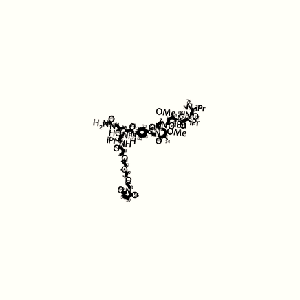 CC[C@H](C)[C@@H]([C@@H](CC(=O)N1CCC[C@H]1[C@H](OC)[C@@H](C)C(=O)NC[S+]([O-])c1ccc(NC(=O)[C@H](CCCNC(N)=O)NC(=O)[C@@H](NC(=O)CCOCCOCCOCCN2C(=O)C=CC2=O)C(C)C)cc1)OC)N(C)C(=O)[C@@H](NC(=O)[C@H](C(C)C)N(C)C)C(C)C